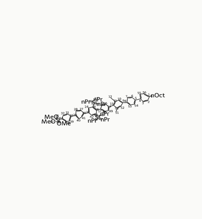 CCCCCCCCc1ccc(-c2ccc(-c3cc(C)c(-c4ccc(-c5c([Si](CCC)(CCC)CCC)cc(-c6ccc(-c7ccc([Si](OC)(OC)OC)cc7)cc6)cc5[Si](CCC)(CCC)CCC)cc4)c(C)c3)cc2)cc1